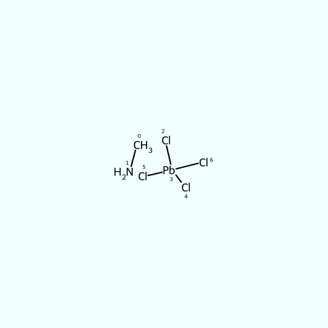 CN.[Cl][Pb]([Cl])([Cl])[Cl]